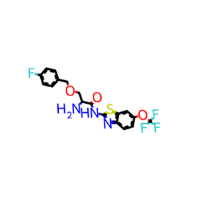 NC(COCc1ccc(F)cc1)C(=O)Nc1nc2ccc(OC(F)(F)F)cc2s1